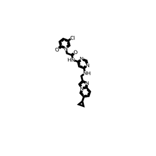 O=C(Cn1cc(Cl)ccc1=O)Nc1cc(NCc2cn3cc(C4CC4)ccc3n2)ncn1